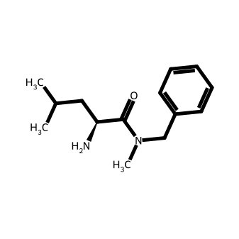 CC(C)C[C@H](N)C(=O)N(C)Cc1ccccc1